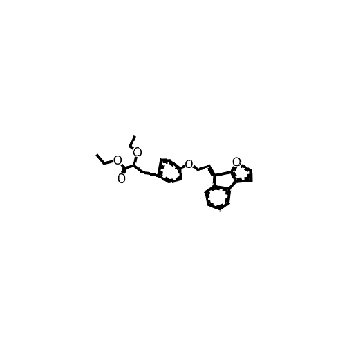 CCOC(=O)C(Cc1ccc(OC/C=C2\c3ccccc3-c3ccoc32)cc1)OCC